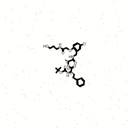 C[C@H](NC(=O)[C@@H](CCc1ccccc1)NC(=O)OC(C)(C)C)C(=O)NCc1cc(Cl)ccc1OCC(=O)NCCCO